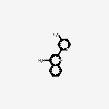 Cc1ccnc(-c2cc(N)c3ccccc3n2)c1